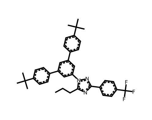 CCCc1nc(-c2ccc(C(F)(F)F)cc2)nn1-c1cc(-c2ccc(C(C)(C)C)cc2)cc(-c2ccc(C(C)(C)C)cc2)c1